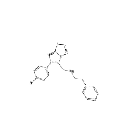 Clc1ccc(-c2nc3sccn3c2CNCCc2ccccc2)cc1